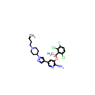 C=CCCN1CCC(n2cc(-c3cnc(N)c(O[C@H](C)c4c(Cl)ccc(F)c4Cl)c3)cn2)CC1